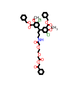 COc1c(Cl)cc(C(=CCCNC(=O)COCCOCC(=O)OCC(=O)c2ccccc2)c2cc(Cl)c(OC)c(C(=O)OCc3ccccc3)c2)cc1C(=O)OCc1ccccc1